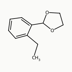 CCc1ccccc1C1OCCO1